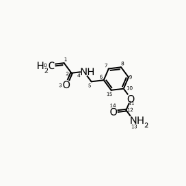 C=CC(=O)NCc1cccc(OC(N)=O)c1